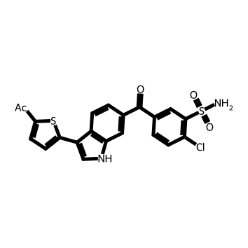 CC(=O)c1ccc(-c2c[nH]c3cc(C(=O)c4ccc(Cl)c(S(N)(=O)=O)c4)ccc23)s1